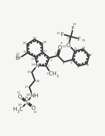 Cc1c(C(=O)Cc2ccccc2OC(F)(F)F)c2cccc(Br)c2n1CCCNS(C)(=O)=O